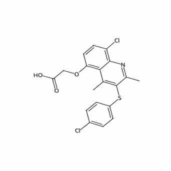 Cc1nc2c(Cl)ccc(OCC(=O)O)c2c(C)c1Sc1ccc(Cl)cc1